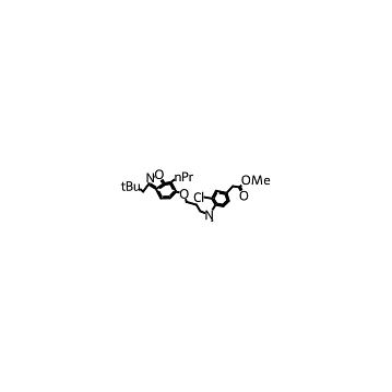 CCCc1c(OCCCN(C)c2ccc(CC(=O)OC)cc2Cl)ccc2c(CC(C)(C)C)noc12